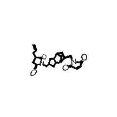 C=CCC1CC(=O)N(CC2CC3C4CC(CN5C(=O)C=CC5=O)C(C4)C3C2)C1=O